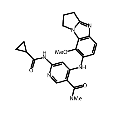 CNC(=O)c1cnc(NC(=O)C2CC2)cc1Nc1ccc2nc3n(c2c1OC)CCC3